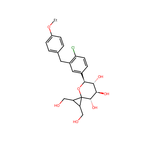 CCOc1ccc(Cc2cc([C@@H]3OC4(C(CO)C4CO)[C@@H](O)[C@H](O)[C@H]3O)ccc2Cl)cc1